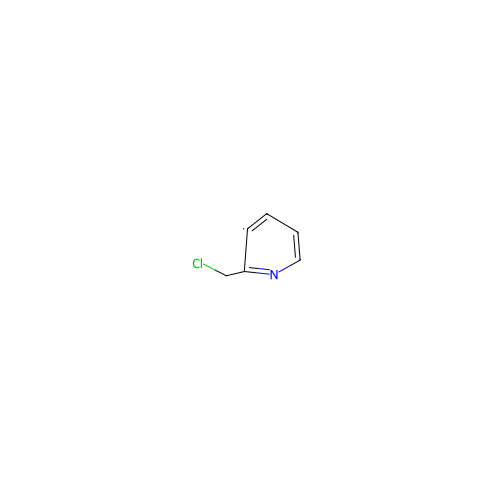 ClCc1[c]cccn1